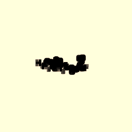 COc1ccc(C(CN(C)C)C2(OC(=O)NCCSSCCOC(=O)N3CCC(c4ccc(F)cc4)C(COc4ccc5c(c4)OCO5)C3)CCCCC2)cc1